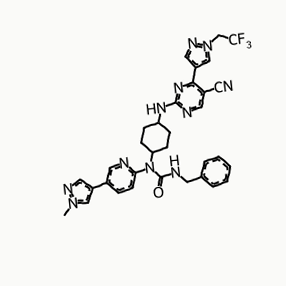 Cn1cc(-c2ccc(N(C(=O)NCc3ccccc3)C3CCC(Nc4ncc(C#N)c(-c5cnn(CC(F)(F)F)c5)n4)CC3)nc2)cn1